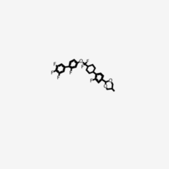 CC1COC(c2ccc(C3CCC(C(F)(F)Oc4ccc(-c5cc(F)c(F)c(F)c5)c(F)c4)CC3)c(F)c2)OC1